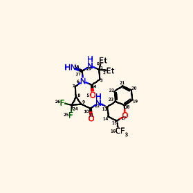 CCC1(CC)CC(=O)N(CC2C(C(=O)N[C@@H]3C[C@H](C(F)(F)F)Oc4ccccc43)C2(F)F)C(=N)N1